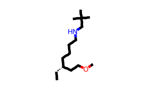 CC[C@H](CCCCNCC(C)(C)C)CCOC